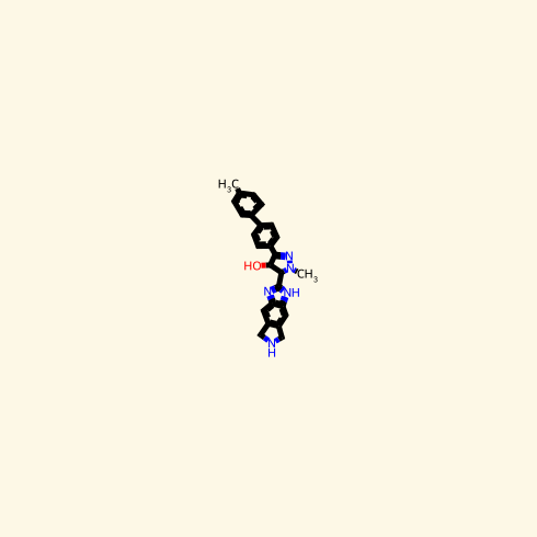 Cc1ccc(-c2ccc(C3=NN(C)C(c4nc5cc6c(cc5[nH]4)CNC6)C3O)cc2)cc1